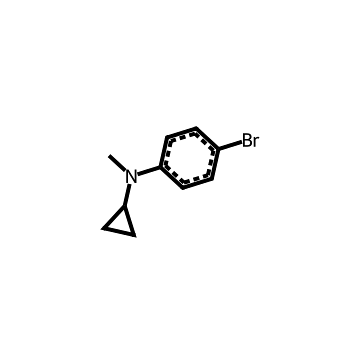 CN(c1ccc(Br)cc1)C1CC1